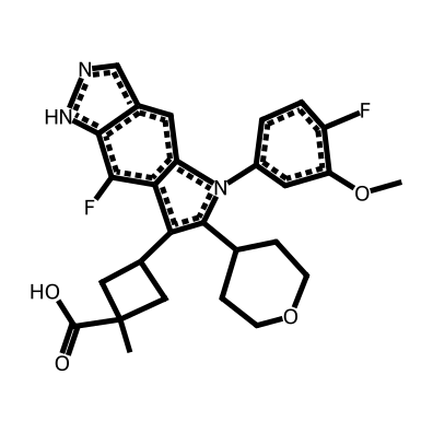 COc1cc(-n2c(C3CCOCC3)c(C3CC(C)(C(=O)O)C3)c3c(F)c4[nH]ncc4cc32)ccc1F